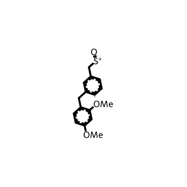 COc1ccc(Cc2[c]ccc(C[S+]=O)c2)c(OC)c1